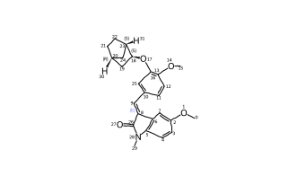 COc1ccc2c(c1)/C(=C\c1ccc(OC)c(O[C@H]3C[C@@H]4CC[C@H]3C4)c1)C(=O)N2C